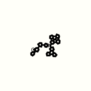 c1cc(-c2ccc(N(c3ccc4c(c3)-c3ccccc3C43c4ccccc4-c4ccccc43)c3ccc4c5ccccc5c5ccccc5c4c3)cc2)cc(-c2ccc3c(c2)oc2ccccc23)c1